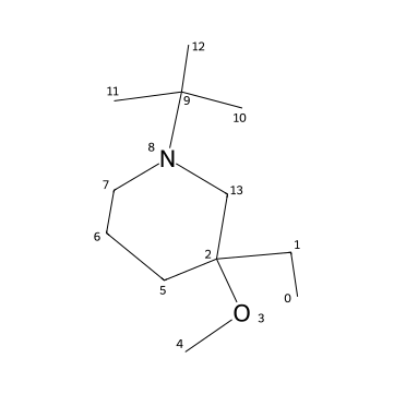 CCC1(OC)CCCN(C(C)(C)C)C1